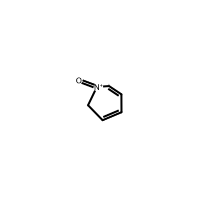 O=[N+]1[C]=CC=CC1